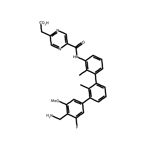 COc1cc(-c2cccc(-c3cccc(NC(=O)c4cnc(CC(=O)O)cn4)c3C)c2C)cc(F)c1CN